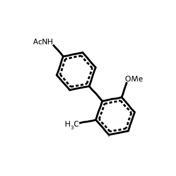 COc1cc[c]c(C)c1-c1ccc(NC(C)=O)cc1